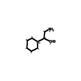 NCC(C=O)N1CCCCC1